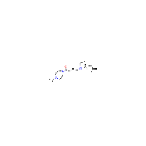 CC(C)C[C@@H]1CCN(CCCC(=O)N2CCN(C(C)C)CC2)C1